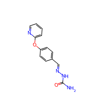 NC(=O)NN=Cc1ccc(Oc2ccccn2)cc1